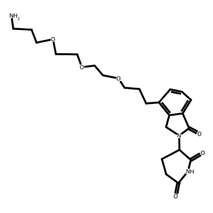 NCCCOCCOCCOCCCc1cccc2c1CN(C1CCC(=O)NC1=O)C2=O